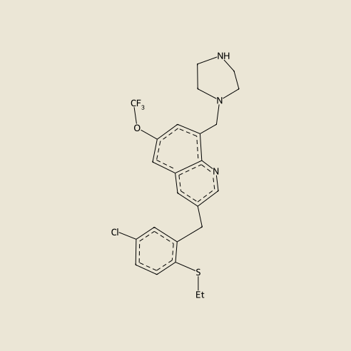 CCSc1ccc(Cl)cc1Cc1cnc2c(CN3CCNCC3)cc(OC(F)(F)F)cc2c1